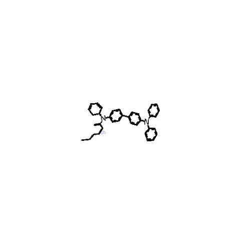 C=C(/C=C\CCC)N(c1ccc(-c2ccc(N(c3ccccc3)c3ccccc3)cc2)cc1)C1C=CC=CC1